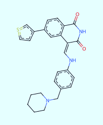 O=C1NC(=O)c2ccc(-c3ccsc3)cc2C1=CNc1ccc(CN2CCCCC2)cc1